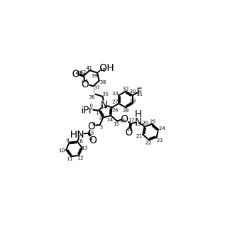 CC(C)c1c(COC(=O)Nc2ccccc2)c(COC(=O)Nc2ccccc2)c(-c2ccc(F)cc2)n1CC[C@H]1C[C@H](O)CC(=O)O1